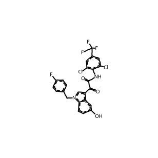 O=C(Nc1c(Cl)cc(C(F)(F)F)cc1Cl)C(=O)c1cn(Cc2ccc(F)cc2)c2ccc(O)cc12